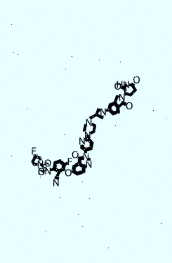 N#Cc1c(NS(=O)(=O)N2CC[C@@H](F)C2)ccc(F)c1Oc1ccc2ncn(-c3ccc(N4CCN(CC5CN(c6ccc7c(c6)CN(C6CCC(=O)NC6=O)C7=O)C5)CC4)nc3)c(=O)c2c1